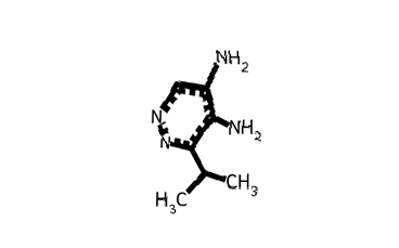 CC(C)c1nncc(N)c1N